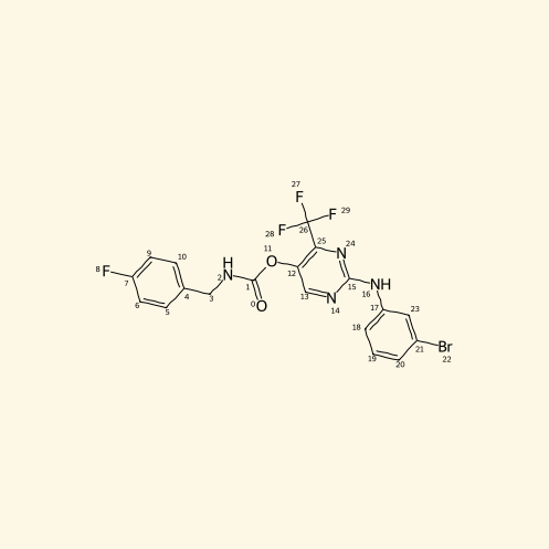 O=C(NCc1ccc(F)cc1)Oc1cnc(Nc2cccc(Br)c2)nc1C(F)(F)F